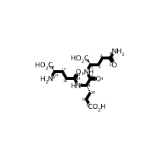 NC(=O)CC[C@H](NC(=O)[C@H](CCC(=O)O)NC(=O)CC[C@H](N)C(=O)O)C(=O)O